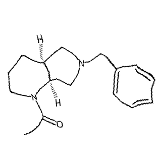 CC(=O)N1CCC[C@H]2CN(Cc3ccccc3)C[C@H]21